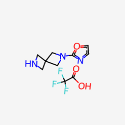 O=C(O)C(F)(F)F.c1coc(N2CC3(CNC3)C2)n1